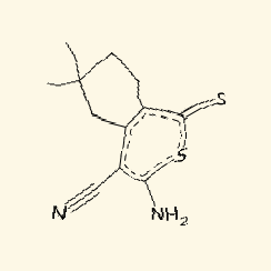 CC1(C)CCc2c(c(C#N)c(N)sc2=S)C1